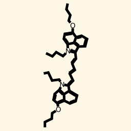 CCCCOc1ccc2c3c(cccc13)C(/C=C/C=C/C=c1/c3cccc4c(OCCCC)ccc(c43)n1CCCC)=[N+]2CCCC